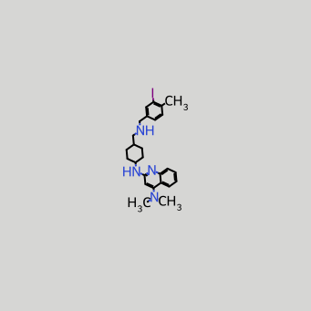 Cc1ccc(CNCC2CCC(Nc3cc(N(C)C)c4ccccc4n3)CC2)cc1I